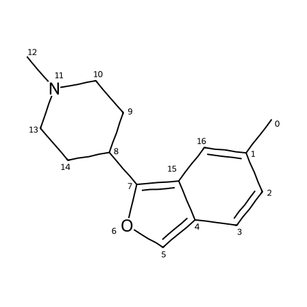 Cc1ccc2coc(C3CCN(C)CC3)c2c1